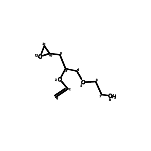 C=COC(COCCO)CC1CO1